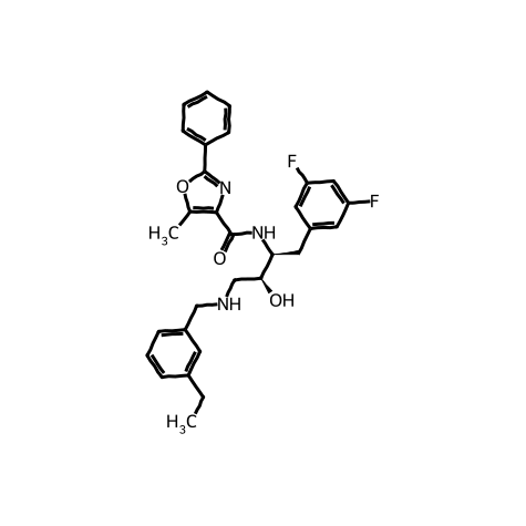 CCc1cccc(CNC[C@H](O)[C@H](Cc2cc(F)cc(F)c2)NC(=O)c2nc(-c3ccccc3)oc2C)c1